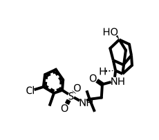 Cc1c(Cl)cccc1S(=O)(=O)NC(C)(C)CC(=O)N[C@H]1C2CC3CC1C[C@](O)(C3)C2